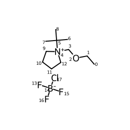 CCOC[N+]1(C(C)(C)C)CCCC1.F[B-](F)(F)Cl